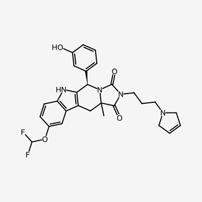 CC12Cc3c([nH]c4ccc(OC(F)F)cc34)[C@@H](c3cccc(O)c3)N1C(=O)N(CCCN1CC=CC1)C2=O